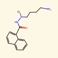 CCN(CCCCN)NC(=O)c1cccc2ccccc12